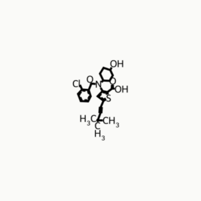 CC(C)(C)C#Cc1cc(N(C(=O)c2ccccc2Cl)C2CCC(O)CC2)c(C(=O)O)s1